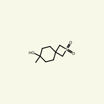 CC1(O)CCC2(CC1)CS(=O)(=O)C2